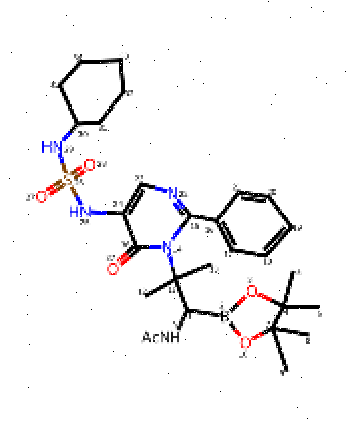 CC(=O)NC(B1OC(C)(C)C(C)(C)O1)C(C)(C)n1c(-c2ccccc2)ncc(NS(=O)(=O)NC2CCCCC2)c1=O